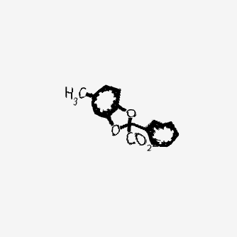 CCOC(=O)C1(c2ccccc2)Oc2ccc(C)cc2O1